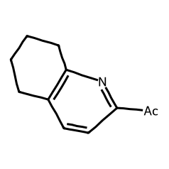 CC(=O)c1ccc2c(n1)CCCC2